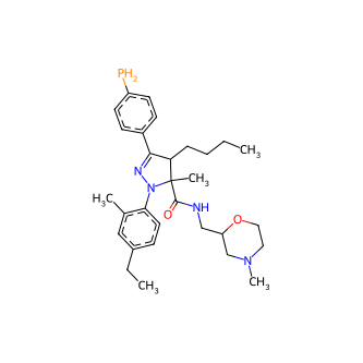 CCCCC1C(c2ccc(P)cc2)=NN(c2ccc(CC)cc2C)C1(C)C(=O)NCC1CN(C)CCO1